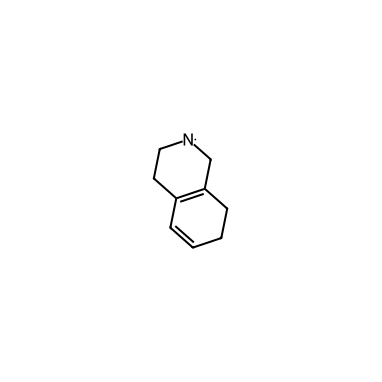 C1=CC2=C(CC1)C[N]CC2